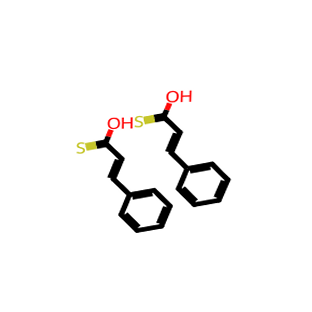 OC(=S)C=Cc1ccccc1.OC(=S)C=Cc1ccccc1